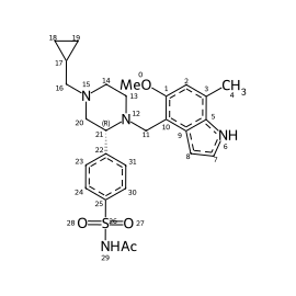 COc1cc(C)c2[nH]ccc2c1CN1CCN(CC2CC2)C[C@H]1c1ccc(S(=O)(=O)NC(C)=O)cc1